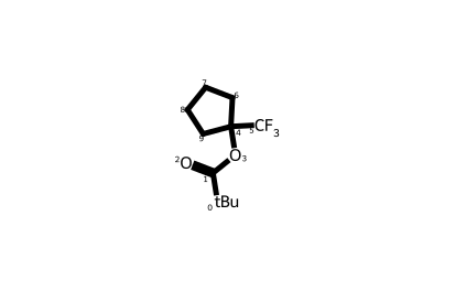 CC(C)(C)C(=O)OC1(C(F)(F)F)CCCC1